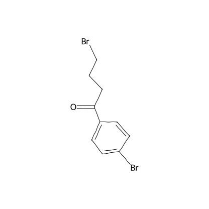 O=C(CCCBr)c1ccc(Br)cc1